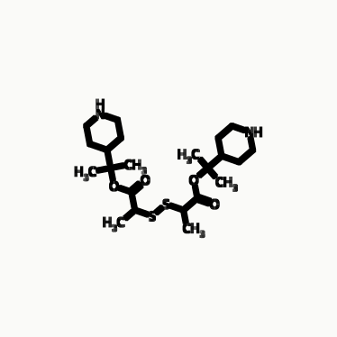 CC(SSC(C)C(=O)OC(C)(C)C1CCNCC1)C(=O)OC(C)(C)C1CCNCC1